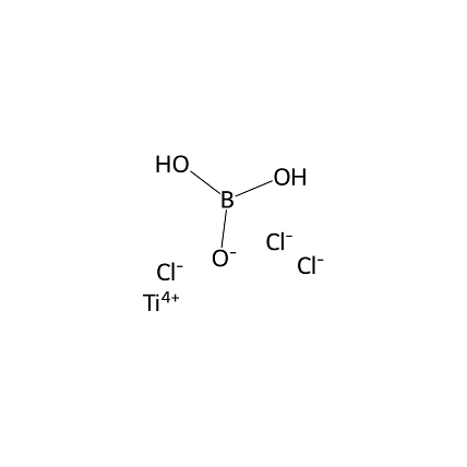 [Cl-].[Cl-].[Cl-].[O-]B(O)O.[Ti+4]